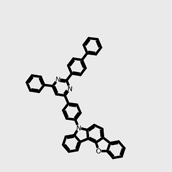 c1ccc(-c2ccc(-c3nc(-c4ccccc4)cc(-c4ccc(-n5c6ccccc6c6c7oc8ccccc8c7ccc65)cc4)n3)cc2)cc1